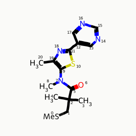 CSCC(C)(C)C(=O)N(C)c1sc(-c2cncnc2)nc1C